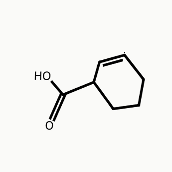 O=C(O)C1C=[C]CCC1